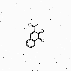 CC(=O)C1=Cc2ccccc2C(=O)C1=O